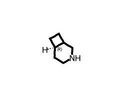 C1C[C@H]2CCC2CN1